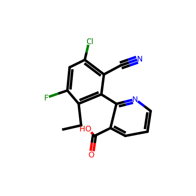 CCc1c(F)cc(Cl)c(C#N)c1-c1ncccc1C(=O)O